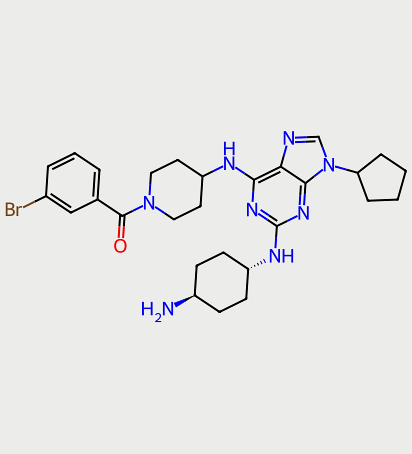 N[C@H]1CC[C@H](Nc2nc(NC3CCN(C(=O)c4cccc(Br)c4)CC3)c3ncn(C4CCCC4)c3n2)CC1